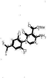 COC(=O)c1c(N)ncn(-c2c(Cl)cc(C(F)F)cc2Cl)c1=O